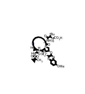 COc1ccc2nc(C)c(O[C@@H]3C[C@H]4C(=O)N[C@]5(C(=O)NS(=O)(=O)C6(C)CC6)C[C@H]5/C=C\CCCCC[C@H](NC(=O)C(NC(=O)O)C(C)(C)C)C(=O)N4C3)nc2c1